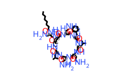 CCCCCCCC(=O)N[C@H](CN)C(=O)N[C@H]1CCNC(=O)[C@H](CC(C)C)NC(=O)[C@H](CCN)NC(=O)[C@H](CCN)NC(=O)[C@H](CC(C)C)NC(=O)[C@@H](Cc2ccccc2)NC(=O)[C@H](CCN)NC1=O